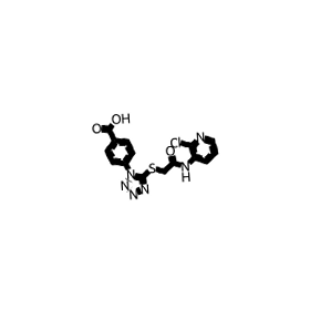 O=C(CSc1nnnn1-c1ccc(C(=O)O)cc1)Nc1cccnc1Cl